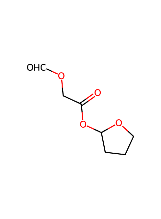 O=COCC(=O)OC1CCCO1